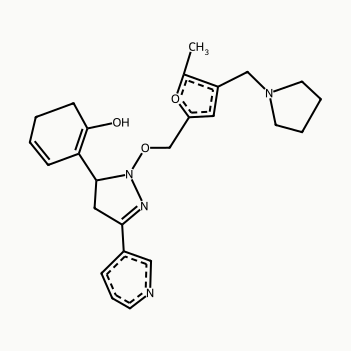 Cc1oc(CON2N=C(c3cccnc3)CC2C2=C(O)CCC=C2)cc1CN1CCCC1